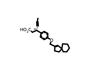 CC#C[C@@H](CC(=O)O)c1ccc(OCC2=CC3(CCCCC3)CC2)cc1